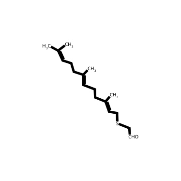 CC(C)=CCC/C(C)=C/CC/C(C)=C/CSCC=O